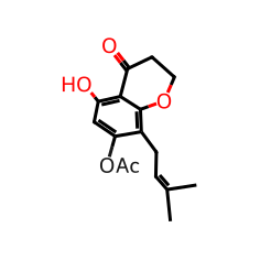 CC(=O)Oc1cc(O)c2c(c1CC=C(C)C)OCCC2=O